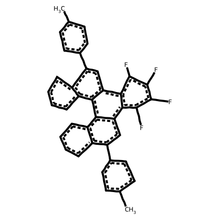 Cc1ccc(-c2cc3c4c(F)c(F)c(F)c(F)c4c4cc(-c5ccc(C)cc5)c5ccccc5c4c3c3ccccc23)cc1